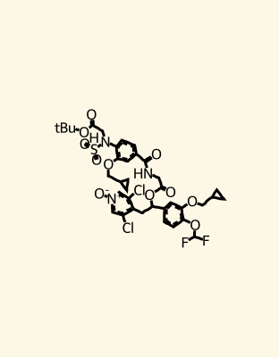 CC(C)(C)OC(=O)CN(c1ccc(C(=O)NCC(=O)OC(Cc2c(Cl)c[n+]([O-])cc2Cl)c2ccc(OC(F)F)c(OCC3CC3)c2)cc1OCC1CC1)[SH](=O)=O